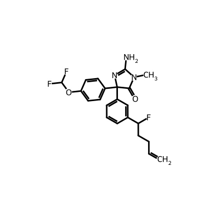 C=CCCC(F)c1cccc(C2(c3ccc(OC(F)F)cc3)N=C(N)N(C)C2=O)c1